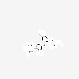 CCc1ccc(NS(N)(=O)=O)c(Cc2ccc(N3CC(=O)NS3(=O)=O)c(O)c2)c1